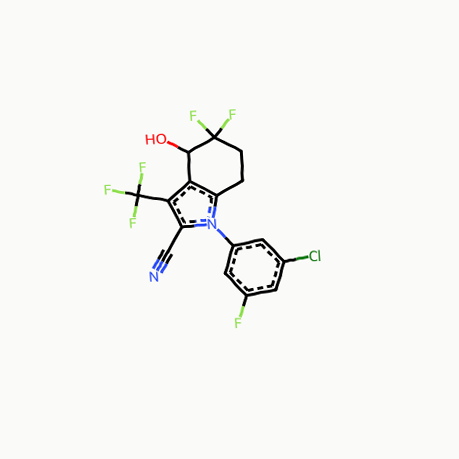 N#Cc1c(C(F)(F)F)c2c(n1-c1cc(F)cc(Cl)c1)CCC(F)(F)C2O